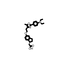 CCN(CC)c1ccc(-c2nc(CCOc3ccc4c(c3)CC[C@H]4CC(=O)O)c(C)o2)cc1